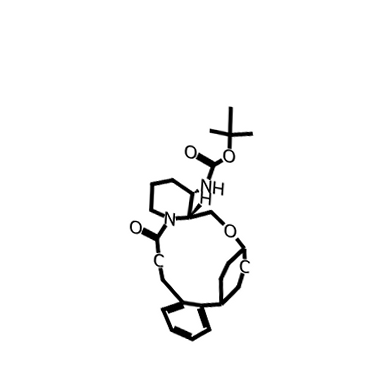 CC(C)(C)OC(=O)N[C@H]1CCCN2C(=O)CCc3ccccc3C3CCC(CC3)OC[C@@H]12